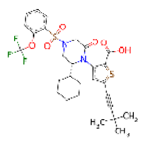 CC(C)(C)C#Cc1cc(N2C(=O)CN(S(=O)(=O)c3ccccc3OC(F)(F)F)C[C@H]2C2CCCCC2)c(C(=O)O)s1